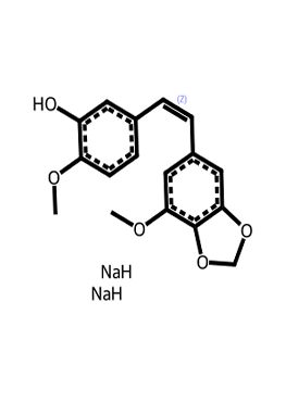 COc1ccc(/C=C\c2cc(OC)c3c(c2)OCO3)cc1O.[NaH].[NaH]